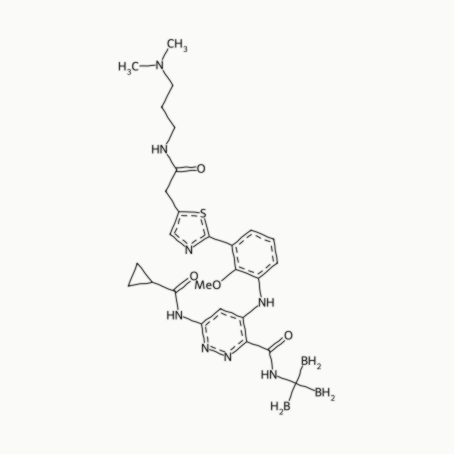 BC(B)(B)NC(=O)c1nnc(NC(=O)C2CC2)cc1Nc1cccc(-c2ncc(CC(=O)NCCCN(C)C)s2)c1OC